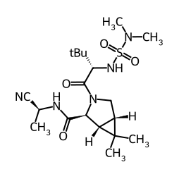 C[C@@H](C#N)NC(=O)[C@@H]1[C@@H]2[C@H](CN1C(=O)[C@@H](NS(=O)(=O)N(C)C)C(C)(C)C)C2(C)C